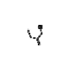 C=C(CO)CBr